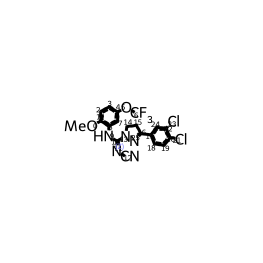 COc1ccc(OC(F)(F)F)cc1N/C(=N/C#N)N1CCC(c2ccc(Cl)c(Cl)c2)=N1